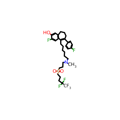 CN(CCCCCCC1=C(c2ccc(F)cc2)CCCc2cc(O)c(F)cc21)CCCS(=O)(=O)CCCC(F)(F)C(F)(F)F